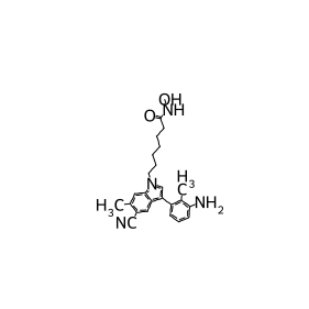 Cc1cc2c(cc1C#N)c(-c1cccc(N)c1C)cn2CCCCCCC(=O)NO